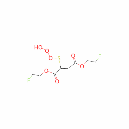 O=C(CC(SOOO)C(=O)OCCF)OCCF